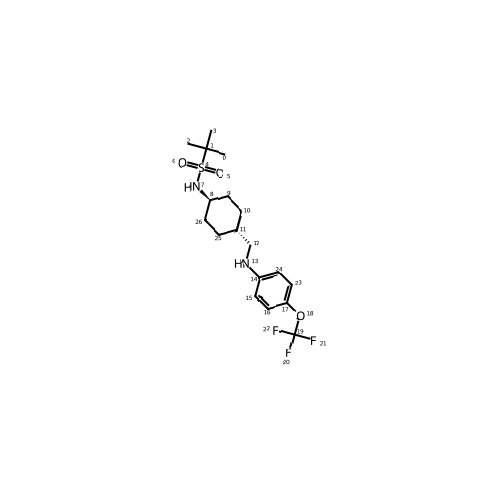 CC(C)(C)S(=O)(=O)N[C@H]1CC[C@H](CNc2ccc(OC(F)(F)F)cc2)CC1